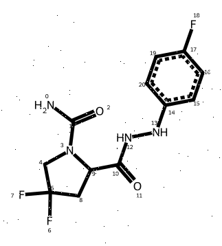 NC(=O)N1CC(F)(F)CC1C(=O)NNc1ccc(F)cc1